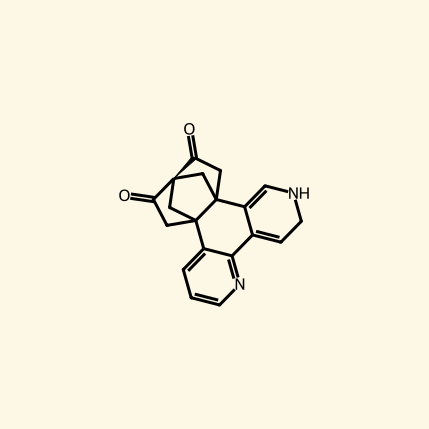 O=C1CC23C[C@@]14CC2(CC4=O)c1cccnc1C1=CCNC=C13